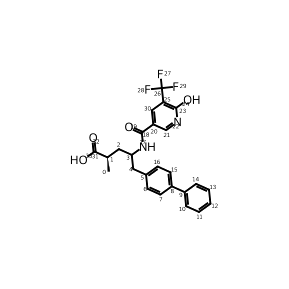 C[C@H](CC(Cc1ccc(-c2ccccc2)cc1)NC(=O)c1cnc(O)c(C(F)(F)F)c1)C(=O)O